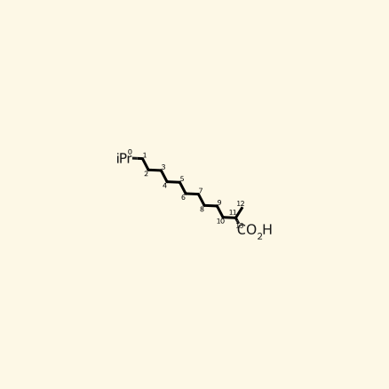 CC(C)CCCCCCCCCCC(C)C(=O)O